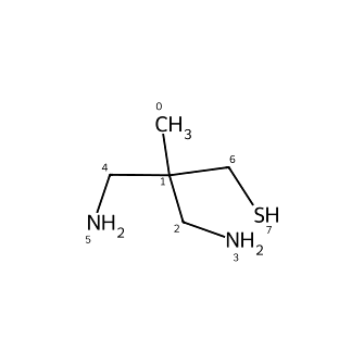 CC(CN)(CN)CS